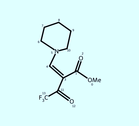 COC(=O)/C(=C\N1CCCCC1)C(=O)C(F)(F)F